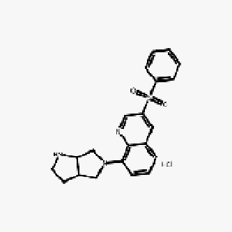 Cl.O=S(=O)(c1ccccc1)c1cnc2c(N3CC4CCNC4C3)cccc2c1